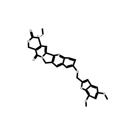 CC[C@H]1C(=O)OCc2c1cc1n(c2=O)Cc2cc3cc(OCc4cc5cc(OC)cc(OC)c5o4)ccc3nc2-1